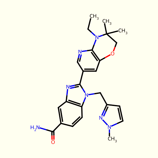 CCN1c2ncc(-c3nc4cc(C(N)=O)ccc4n3Cc3ccn(C)n3)cc2OCC1(C)C